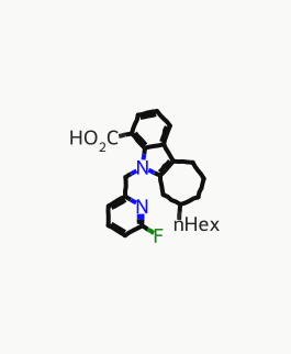 CCCCCCC1CCCc2c(n(Cc3cccc(F)n3)c3c(C(=O)O)cccc23)C1